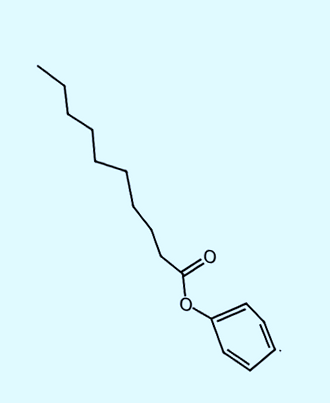 CCCCCCCCCC(=O)Oc1cc[c]cc1